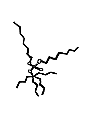 CCCCCCCCOP(=O)(OCCCCCCCC)OP(CCCC)(CCCC)(CCCC)CCCC